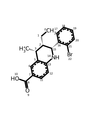 CC[C@H]1[C@@H](C)c2cc(C(=O)O)ccc2N[C@H]1c1ccccc1Br